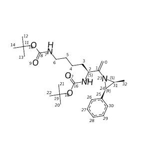 C=C([C@H](CCCCNC(=O)OC(C)(C)C)NC(=O)OC(C)(C)C)N1[C@H](c2ccccc2)[C@@H]1C